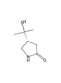 CC(C)(S)[C@H]1CNC(=O)C1